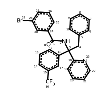 O=C(NC(Cc1ccccc1)(c1cccc(C(F)(F)F)c1)c1ccccn1)c1cccc(Br)c1